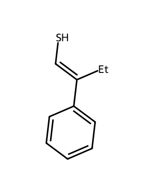 CCC(=CS)c1ccccc1